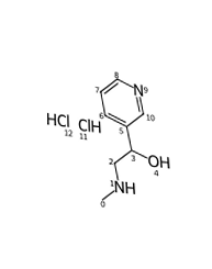 CNCC(O)c1cccnc1.Cl.Cl